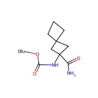 CC(C)(C)OC(=O)NC1(C(N)=O)CC2(CCC2)C1